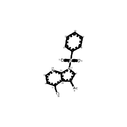 CC(=O)c1cn(S(=O)(=O)c2ccccc2)c2nccc(Cl)c12